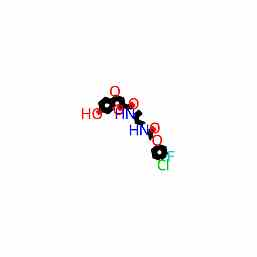 C=C(CCNC(=O)COc1ccc(Cl)c(F)c1)NC(=O)c1cc(=O)c2ccc(O)cc2o1